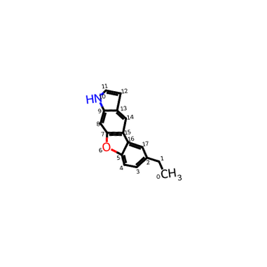 CCc1ccc2oc3cc4[nH]ccc4cc3c2c1